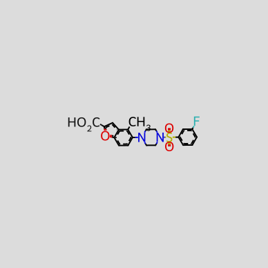 Cc1c(N2CCN(S(=O)(=O)c3cccc(F)c3)CC2)ccc2oc(C(=O)O)cc12